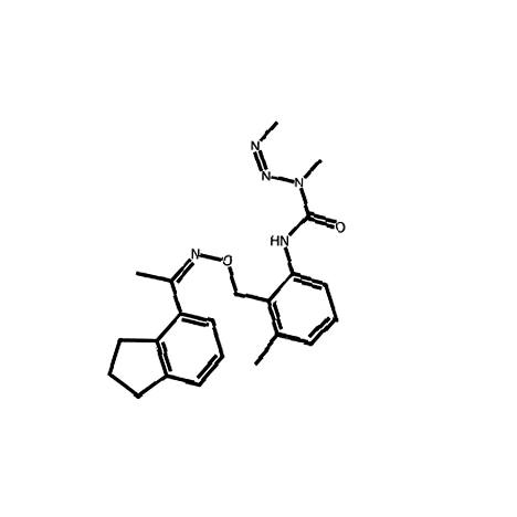 C/N=N\N(C)C(=O)Nc1cccc(C)c1CO/N=C(/C)c1cccc2c1CCC2